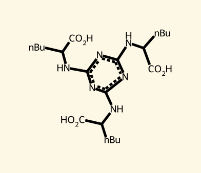 CCCCC(Nc1nc(NC(CCCC)C(=O)O)nc(NC(CCCC)C(=O)O)n1)C(=O)O